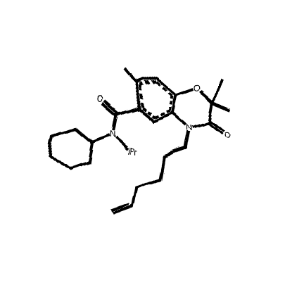 C=CCCCCN1C(=O)C(C)(C)Oc2cc(C)c(C(=O)N(C(C)C)C3CCCCC3)cc21